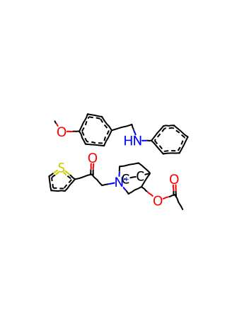 CC(=O)OC1C[N+]2(CC(=O)c3cccs3)CCC1CC2.COc1ccc(CNc2ccccc2)cc1